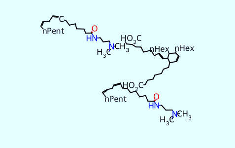 CCCCC/C=C\C/C=C\CCCCCCCC(=O)NCCCN(C)C.CCCCC/C=C\C/C=C\CCCCCCCC(=O)NCCCN(C)C.CCCCCCC1C=CC(CCCCCCCC(=O)O)C(C=CCCCCCCCC(=O)O)C1CCCCCC